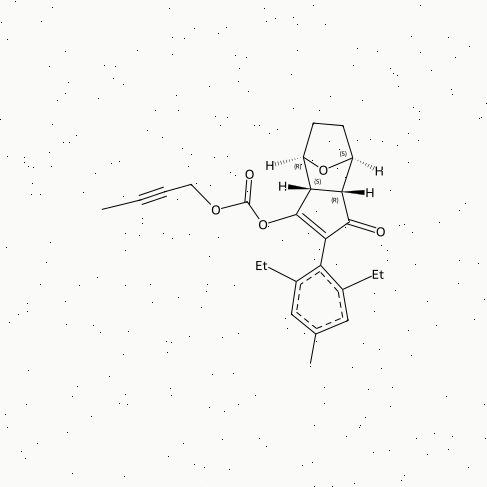 CC#CCOC(=O)OC1=C(c2c(CC)cc(C)cc2CC)C(=O)[C@@H]2[C@H]1[C@H]1CC[C@@H]2O1